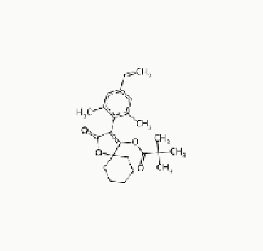 C=Cc1cc(C)c(C2=C(OC(=O)C(C)(C)C)C3(CCCCC3)OC2=O)c(C)c1